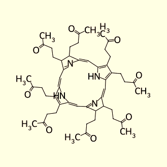 CC(=O)CCc1c(CCC(C)=O)c2cc3nc(cc4[nH]c(cc5nc(cc1[nH]2)C(CCC(C)=O)C5CCC(C)=O)c(CCC(C)=O)c4CCC(C)=O)C(CCC(C)=O)C3CCC(C)=O